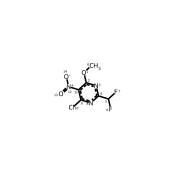 COc1nc(C(F)F)nc(Cl)c1[N+](=O)[O-]